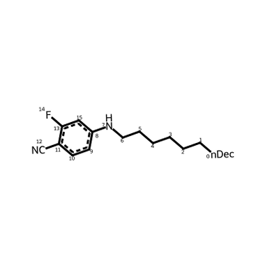 CCCCCCCCCCCCCCCCNc1ccc(C#N)c(F)c1